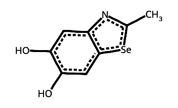 Cc1nc2cc(O)c(O)cc2[se]1